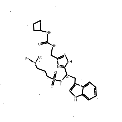 CCN(CC)CCCS(=O)(=O)N[C@H](Cc1c[nH]c2ccccc12)c1nc(CNC(=O)NC2CCC2)n[nH]1